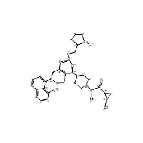 Cc1cccc2cccc(N3CCc4c(nc(OCC5CCCN5C)nc4N4CCC(N(C)C(=O)C5CN5C)CC4)C3)c12